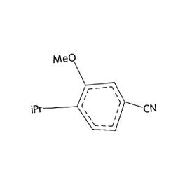 COc1cc(C#N)ccc1C(C)C